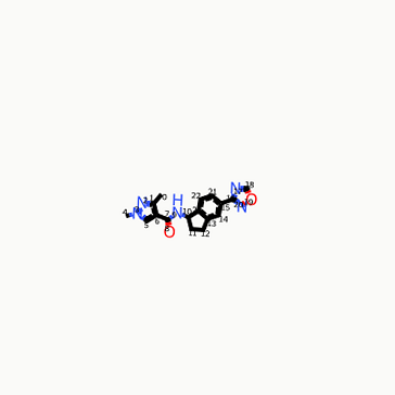 Cc1nn(C)cc1C(=O)NC1CCc2cc(-c3ncon3)ccc21